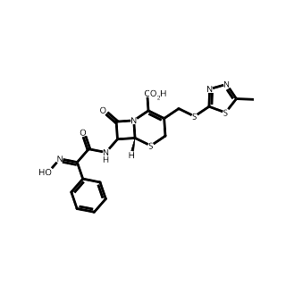 Cc1nnc(SCC2=C(C(=O)O)N3C(=O)C(NC(=O)/C(=N/O)c4ccccc4)[C@H]3SC2)s1